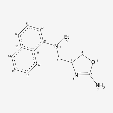 CCN(CC1COC(N)=N1)c1cccc2ccccc12